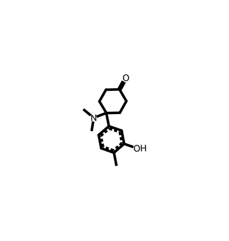 Cc1ccc(C2(N(C)C)CCC(=O)CC2)cc1O